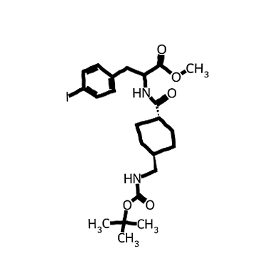 COC(=O)C(Cc1ccc(I)cc1)NC(=O)[C@H]1CC[C@H](CNC(=O)OC(C)(C)C)CC1